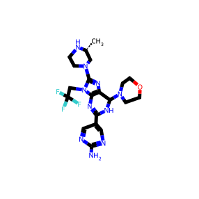 C[C@@H]1CN(c2nc3c(n2CC(F)(F)F)N=C(c2cnc(N)nc2)NC3N2CCOCC2)CCN1